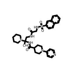 O=CC(CNC(=O)CNS(=O)(=O)c1ccc2ccccc2c1)(NC(=O)C1CCN(c2ccncc2)CC1)N1CCCCC1